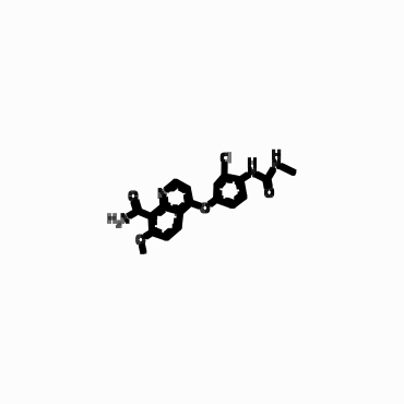 CNC(=O)Nc1ccc(Oc2ccnc3c(C(N)=O)c(OC)ccc23)cc1Cl